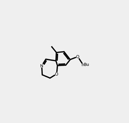 CCCCOc1cc(C)c2c(c1)OCCN=C2